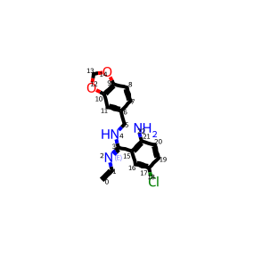 C=C/N=C(/NCc1ccc2c(c1)OCO2)c1cc(Cl)ccc1N